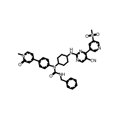 Cn1ccc(-c2ccc(N(C(=O)NCc3ccccc3)C3CCC(Nc4ncc(C#N)c(-c5cncc(S(C)(=O)=O)c5)n4)CC3)cc2)cc1=O